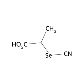 CC([Se]C#N)C(=O)O